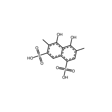 Cc1cc(S(=O)(=O)O)c2cc(S(=O)(=O)O)c(C)c(O)c2c1O